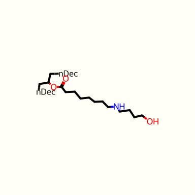 CCCCCCCCCCCC(CCCCCCCCCCC)OC(=O)CCCCCCCNCCCCO